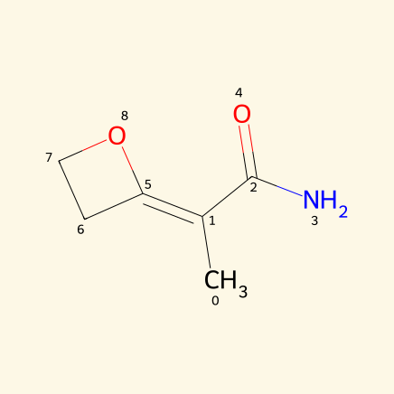 CC(C(N)=O)=C1CCO1